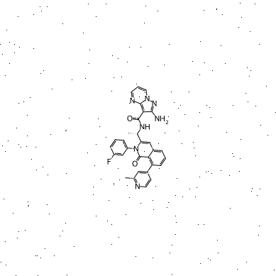 Cc1cc(-c2cccc3cc([C@H](C)NC(=O)c4c(N)nn5cccnc45)n(-c4cccc(F)c4)c(=O)c23)ccn1